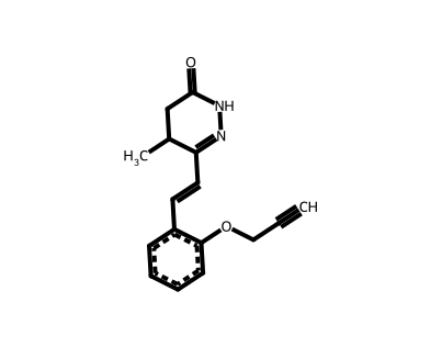 C#CCOc1ccccc1C=CC1=NNC(=O)CC1C